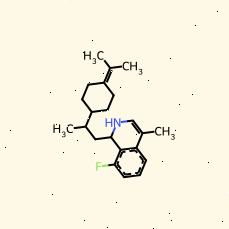 CC1=CNC(CC(C)C2CCC(=C(C)C)CC2)c2c(F)cccc21